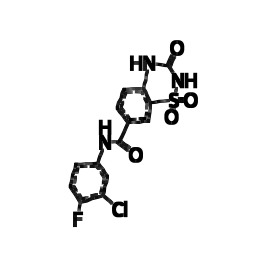 O=C1Nc2ccc(C(=O)Nc3ccc(F)c(Cl)c3)cc2S(=O)(=O)N1